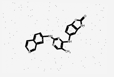 Cc1cnc(Nc2ccc3ccncc3c2)nc1Nc1ccc2oc(=O)[nH]c2c1